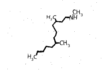 CCCCCC(C)CCCC(C)CCNC